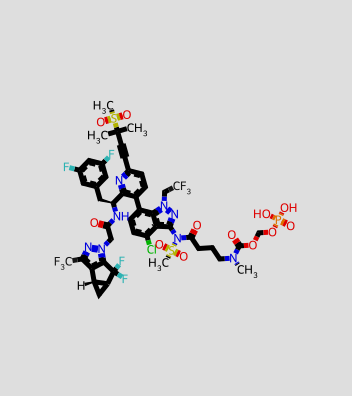 CN(CCCC(=O)N(c1nn(CC(F)(F)F)c2c(-c3ccc(C#CC(C)(C)S(C)(=O)=O)nc3[C@H](Cc3cc(F)cc(F)c3)NC(=O)Cn3nc(C(F)(F)F)c4c3C(F)(F)C3C[C@H]43)ccc(Cl)c12)S(C)(=O)=O)C(=O)OCOP(=O)(O)O